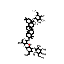 CC1(C)CCC2(C(=O)OC3OC(CO)C(O)C(O)C3O)C(O)CC3(C)C(=CCC4C5(C)CCC(OC6OCC(O)C(OC7OC(CO)C(O)C(OC8OC(CO)C(O)C(O)C8O)C7O)C6O)C(C)(C)C5CCC43C)C2C1